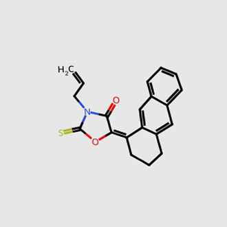 C=CCN1C(=O)/C(=C2/CCCc3cc4ccccc4cc32)OC1=S